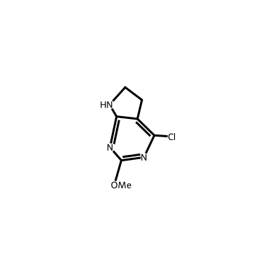 COc1nc(Cl)c2c(n1)NCC2